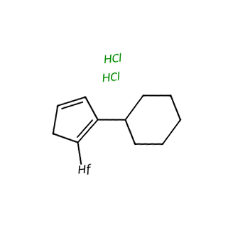 Cl.Cl.[Hf][C]1=C(C2CCCCC2)C=CC1